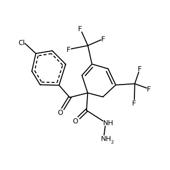 NNC(=O)C1(C(=O)c2ccc(Cl)cc2)C=C(C(F)(F)F)C=C(C(F)(F)F)C1